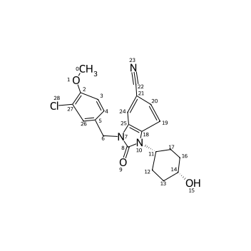 COc1ccc(Cn2c(=O)n([C@H]3CC[C@@H](O)CC3)c3ccc(C#N)cc32)cc1Cl